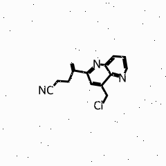 C=C(CCC#N)c1cc(CCl)c2ncccc2n1